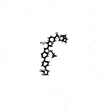 Cc1c(-c2cc3ccc(-c4ccc(N5CCNC5=O)cc4)cc3n2CC2CC2)nn2cc(C(=O)N3CC4CC5CC3[C@H]54)ccc12